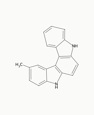 Cc1ccc2[nH]c3ccc4[nH]c5ccccc5c4c3c2c1